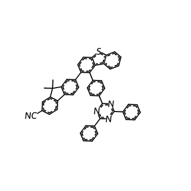 CC1(C)c2cc(C#N)ccc2-c2ccc(-c3ccc4sc5ccccc5c4c3-c3ccc(-c4nc(-c5ccccc5)nc(-c5ccccc5)n4)cc3)cc21